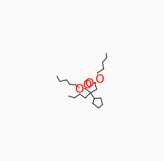 CCCCCOC(=O)CC(CCCC)(C(=O)OCCCCC)C1CCCC1